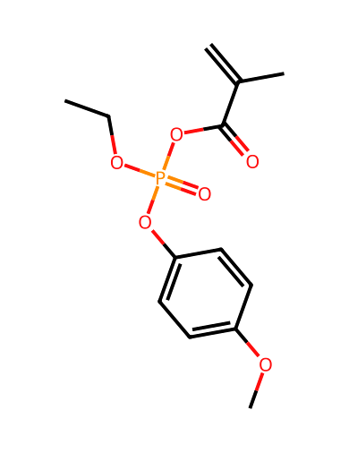 C=C(C)C(=O)OP(=O)(OCC)Oc1ccc(OC)cc1